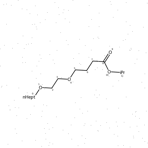 CCCCCCCOCCOCCCC(=O)OC(C)C